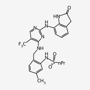 CCCS(=O)(=O)Nc1cc(C)ccc1CNc1nc(Nc2cccc3c2NC(=O)C3)ncc1C(F)(F)F